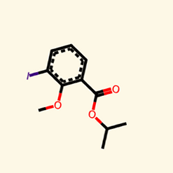 COc1c(I)cccc1C(=O)OC(C)C